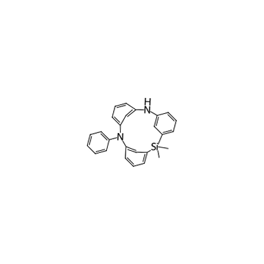 C[Si]1(C)c2cccc(c2)Nc2cccc(c2)N(c2ccccc2)c2cccc1c2